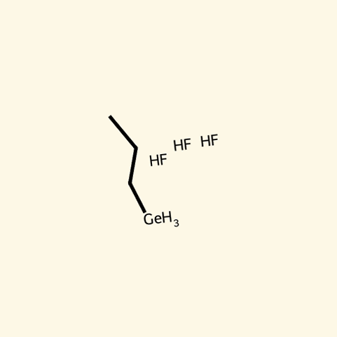 CC[CH2][GeH3].F.F.F